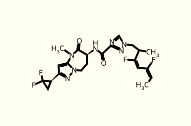 C/C=C(F)\C=C(\F)C(C)Cn1cnc(C(=O)N[C@H]2CCn3nc([C@H]4CC4(F)F)cc3N(C)C2=O)n1